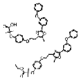 CCOC(=O)C(C)(C)Oc1ccc(OCCc2nc(-c3cccc(Oc4ccccc4)c3)oc2C)cc1.Cc1oc(-c2cccc(Oc3ccccc3)c2)nc1CCOc1ccc(OC(C)(C)C(=O)O)cc1